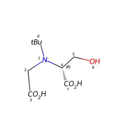 CC(C)(C)N(CC(=O)O)[C@H](CO)C(=O)O